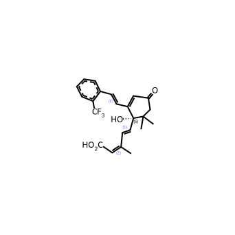 CC(=C/C(=O)O)/C=C/[C@@]1(O)C(/C=C/c2ccccc2C(F)(F)F)=CC(=O)CC1(C)C